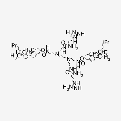 CC(C)CCCC(C)C1CCC2C3CC=C4CC(OC(=O)NCCCN(CCCCN(CCCNC(=O)OC5CCC6(C)C(=CCC7C6CCC6(C)C(C(C)CCCC(C)C)CCC76)C5)CCCNC(=O)C(N)CCCNC(=N)N)CCCNC(=O)C(N)CCCNC(=N)N)CCC4(C)C3CCC12C